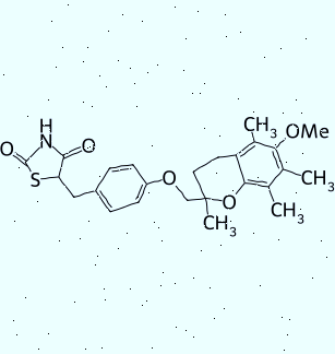 COc1c(C)c(C)c2c(c1C)CCC(C)(COc1ccc(CC3SC(=O)NC3=O)cc1)O2